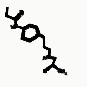 CCC(=O)Nc1ccc(CCCNCC(N)=O)cc1